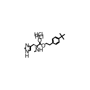 CN[C@@H](Cc1c[nH]cn1)C(=O)OCCc1ccc(C(C)(C)C)cc1.Cl.Cl